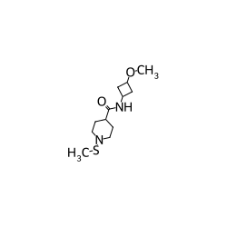 COC1CC(NC(=O)C2CCN(SC)CC2)C1